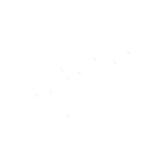 N#Cc1cc(C2CC2)cn2cc(CN3C=C(C(=O)NCc4ncn5ccc(Cl)cc45)NN3)nc12